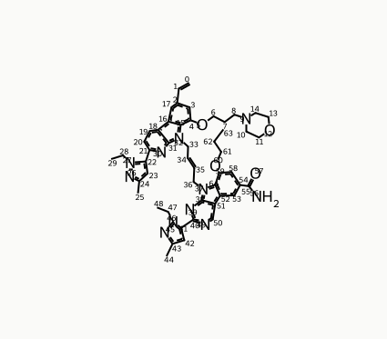 C=Cc1cc(OCCCN2CCOCC2)c2c(c1)c1ccc(-c3cc(C)nn3CC)nc1n2C/C=C/Cn1c2nc(-c3cc(C)nn3CC)ncc2c2cc(C(N)=O)cc(OCCC)c21